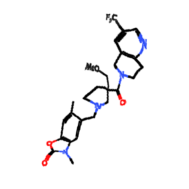 COCC1(C(=O)N2CCc3ncc(C(F)(F)F)cc3C2)CCN(Cc2cc3c(cc2C)oc(=O)n3C)C1